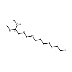 CCCCCCCCOCCCC(CC)OC